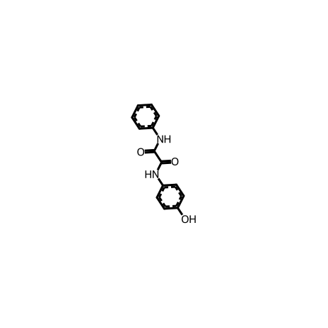 O=C(Nc1ccccc1)C(=O)Nc1ccc(O)cc1